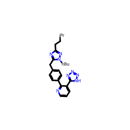 CCCCn1nc(CCC(C)C)nc1Cc1ccc(-c2ncccc2-c2nnn[nH]2)cc1